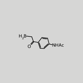 BCC(=O)c1ccc(NC(C)=O)cc1